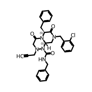 C#CCN1CC(=O)N2[C@@H](Cc3ccccc3)C(=O)N(Cc3ccccc3Cl)C[C@@H]2N1C(=O)NCc1ccccc1